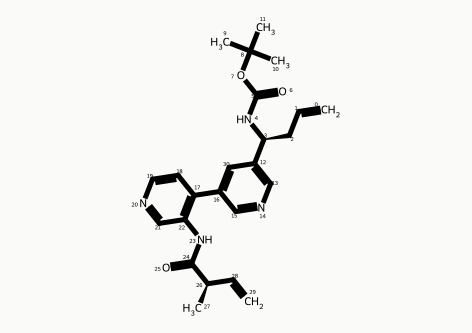 C=CC[C@H](NC(=O)OC(C)(C)C)c1cncc(-c2ccncc2NC(=O)[C@H](C)C=C)c1